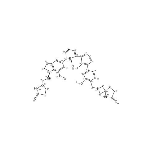 COc1nc(-c2cccc(-c3cccc(-c4cc5c(c(OC)n4)[C@@H](NC[C@@H]4CCC(=O)N4)CO5)c3Cl)c2F)cnc1CN1CC2(CCC(=O)N2)C1